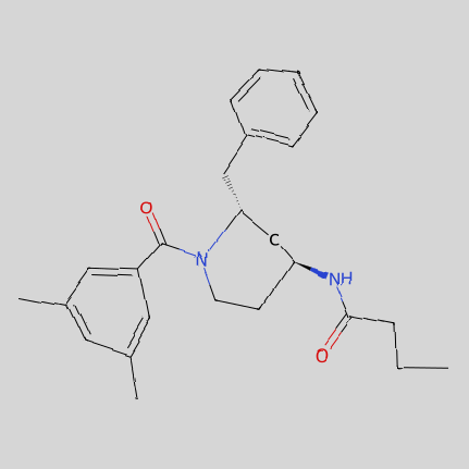 CCCC(=O)N[C@H]1CCN(C(=O)c2cc(C)cc(C)c2)[C@H](Cc2ccccc2)C1